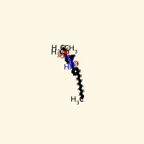 CCCCCCCCCCc1ccc(NC(=O)N2CCN(C(=O)OC(C)(C)C)C3CC32)cc1